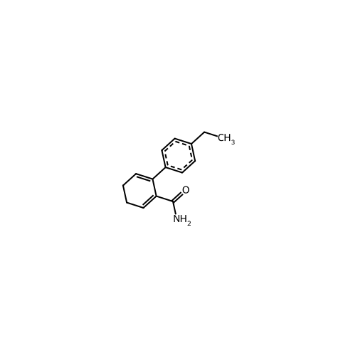 CCc1ccc(C2=CCCC=C2C(N)=O)cc1